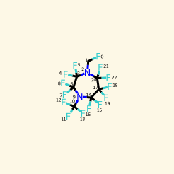 FCN1C(F)(F)C(F)(F)N(C(F)(F)F)C(F)(F)C(F)(F)C1(F)F